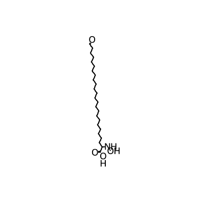 O=CCCCCCCCCCCCCCCCCCCCCCCC(NO)C(=O)O